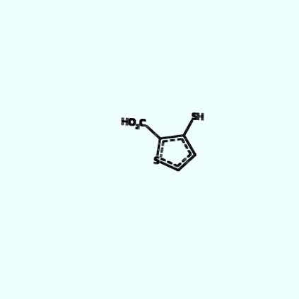 O=C(O)c1sccc1S